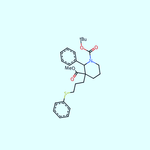 COC(=O)C1(CCCSc2ccccc2)CCCN(C(=O)OC(C)(C)C)C1c1ccccc1